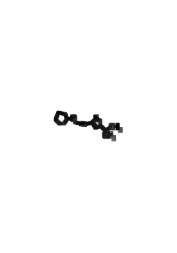 CC(C)c1csc(C#CCOC2CCCCC2)c1